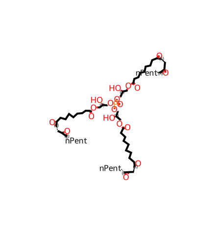 CCCCC[C@H]1OC1C[C@@H]1OC1CCCCCCCC(=O)OC[C@H](O)COP(=O)(OC[C@@H](O)COC(=O)CCCCCCCC1O[C@H]1CC1O[C@@H]1CCCCC)OC[C@@H](O)COC(=O)CCCCCCCC1O[C@H]1CC1O[C@@H]1CCCCC